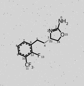 NC1=N[C@@H](CCc2cccc(C(F)(F)F)c2F)CO1